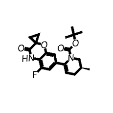 C[C@H]1CC=C(c2cc(F)c3c(c2)OC2(CC2)C(=O)N3)N(C(=O)OC(C)(C)C)C1